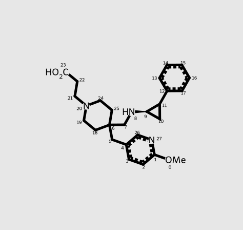 COc1ccc(CC2(CN[C@@H]3CC3c3ccccc3)CCN(CCC(=O)O)CC2)cn1